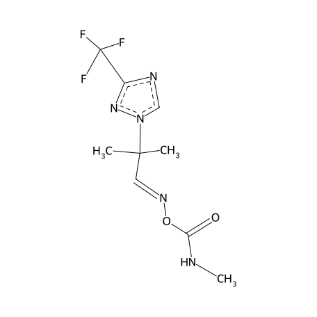 CNC(=O)ON=CC(C)(C)n1cnc(C(F)(F)F)n1